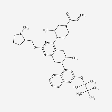 C=CC(=O)N1CCN(c2nc(OCC3CCCN3C)nc3c2CC(C)C(c2cc(O[Si](C)(C)C(C)(C)C)cc4ccccc24)C3)C(C)C1